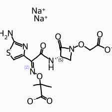 CC(C)(O/N=C(\C(=O)N[C@H]1CN(OCC(=O)[O-])C1=O)c1csc(N)n1)C(=O)[O-].[Na+].[Na+]